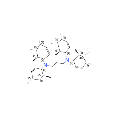 C[C@H]1[C@H](C)[C@@H](N(CCCN([C@H]2C=C[C@@H](C)[C@@H](C)[C@@H]2C)[C@H]2C=C[C@@H](C)[C@@H](C)[C@@H]2C)[C@H]2C=C[C@@H](C)[C@@H](C)[C@@H]2C)C=C[C@H]1C